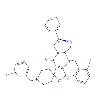 N[C@@H](Cn1c(=O)c2c(n(Cc3c(F)cccc3C(F)(F)F)c1=O)COC21CCN(Cc2cncc(F)c2)CC1)c1ccccc1